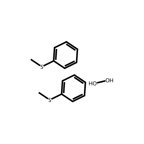 CSc1ccccc1.CSc1ccccc1.OO